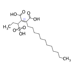 CCCCCCCCCCCC/C(C(=O)O)=C(/C(=O)O)C(CC)S(=O)(=O)O